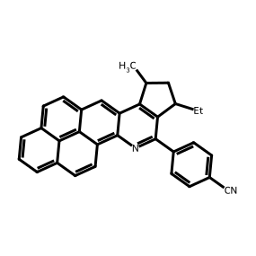 CCC1CC(C)c2c1c(-c1ccc(C#N)cc1)nc1c2cc2ccc3cccc4ccc1c2c34